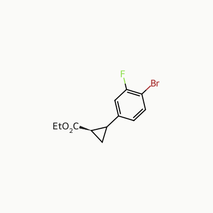 CCOC(=O)[C@@H]1CC1c1ccc(Br)c(F)c1